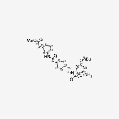 CCCCOc1nc(N)c2[nH]c(=O)n(CCC3CCN(CC(=O)Nc4cccc(CC(=O)OC)c4)CC3)c2n1